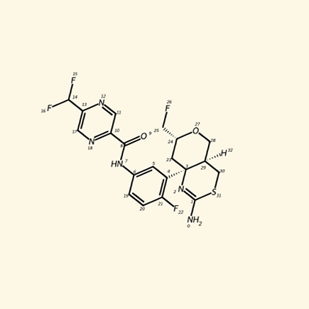 NC1=N[C@@]2(c3cc(NC(=O)c4cnc(C(F)F)cn4)ccc3F)C[C@H](CF)OC[C@H]2CS1